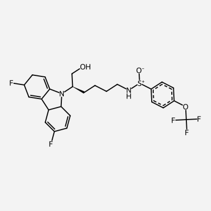 [O-][S+](NCCCC[C@H](CO)N1C2=CCC(F)C=C2C2C=C(F)C=CC21)c1ccc(OC(F)(F)F)cc1